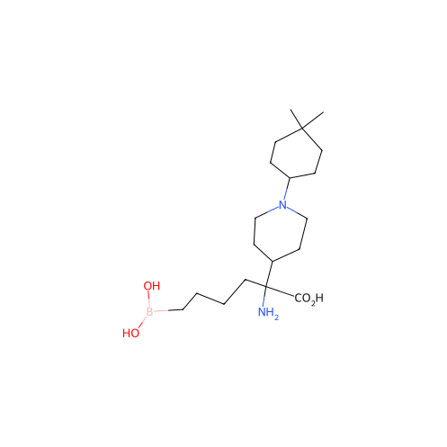 CC1(C)CCC(N2CCC(C(N)(CCCCB(O)O)C(=O)O)CC2)CC1